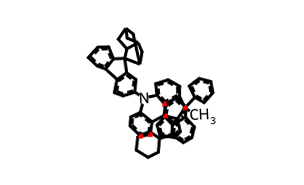 CC1(c2ccccc2)c2ccccc2-c2c(N(c3ccc4c(c3)C3(c5ccccc5-4)C4CC5CC(C4)C3C5)c3ccccc3-c3cccc4cccc(C5CCCCC5)c34)cccc21